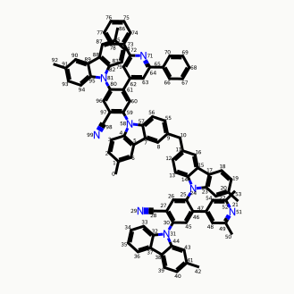 Cc1ccc2c(c1)c1cc(Cc3ccc4c(c3)c3ccc(C)cc3n4-c3cc(C#N)c(-n4c5ccccc5c5ccc(C)cc54)cc3-c3cc(C)nc(C)c3)ccc1n2-c1cc(-c2cc(-c3ccccc3)nc(-c3ccccc3)c2)c(-n2c3ccc(C)cc3c3cc(C)ccc32)cc1C#N